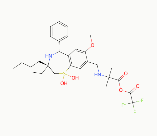 CCCC[C@]1(CC)CS(O)(O)c2cc(CNC(C)(C)C(=O)OC(=O)C(F)(F)F)c(OC)cc2[C@@H](c2ccccc2)N1